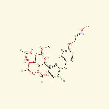 CO/N=C/COc1ccc(Cc2cc([C@@H]3O[C@H](OC)[C@@H](OC(C)=O)[C@H](OC(C)=O)[C@H]3OC(C)=O)ccc2Cl)cc1